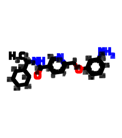 C[C@@H](NC(=O)c1ccc(COc2cccc(N)c2)nc1)C1CCCCC1